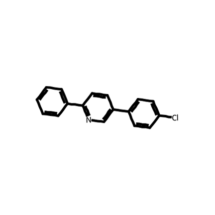 Clc1ccc(-c2ccc(-c3ccccc3)nc2)cc1